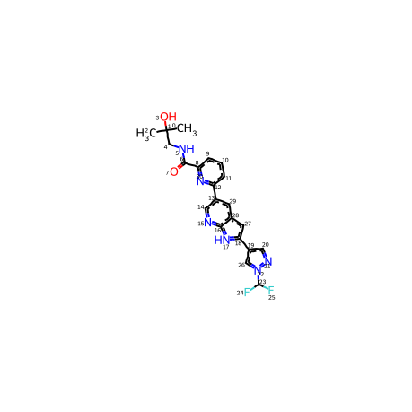 CC(C)(O)CNC(=O)c1cccc(-c2cnc3[nH]c(-c4cnn(C(F)F)c4)cc3c2)n1